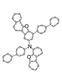 c1ccc(-c2ccc(-c3cc(N(c4ccc(-c5ccccc5)cc4)c4cccc5c4oc4ccccc45)cc4c3oc3c5ccccc5ccc43)cc2)cc1